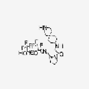 N#C[C@@H]1CCCN1C(=O)CNC1CCC2(CCNCC2)CC1.O=C(O)C(F)(F)F.O=C(O)C(F)(F)F